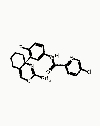 NC1=N[C@@]2(c3cc(NC(=O)c4ccc(Cl)cn4)ccc3F)CCCCC2=CO1